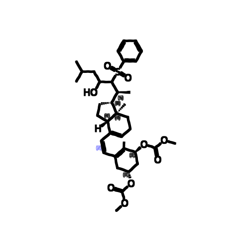 COC(=O)O[C@@H]1CC(/C=C\C2=CCC[C@]3(C)[C@@H]([C@H](C)C(C(O)CC(C)C)S(=O)(=O)c4ccccc4)CC[C@@H]23)=C(C)[C@@H](OC(=O)OC)C1